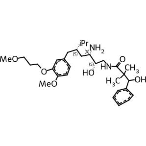 COCCCOc1cc(C[C@@H](C[C@H](N)[C@@H](O)CNC(=O)C(C)(C)C(O)c2ccccc2)C(C)C)ccc1OC